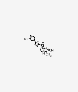 C[C@H]1[C@@H]2CCN(C(=O)c3ncc(-c4ccnc(C#N)c4)o3)[C@H]2CN1C#N